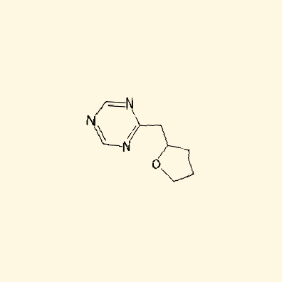 c1ncnc(CC2CCCO2)n1